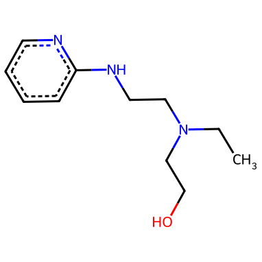 CCN(CCO)CCNc1ccccn1